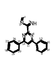 C=NC(=N)c1nc(-c2ccccc2)cc(-c2ccccc2)n1